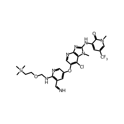 Cn1cc(C(F)(F)F)cc(Nc2nc3ncc(Oc4cnc(NCOCC[Si](C)(C)C)c(C=N)c4)c(Cl)c3n2C)c1=O